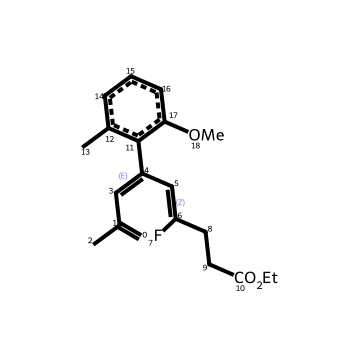 C=C(C)/C=C(\C=C(/F)CCC(=O)OCC)c1c(C)cccc1OC